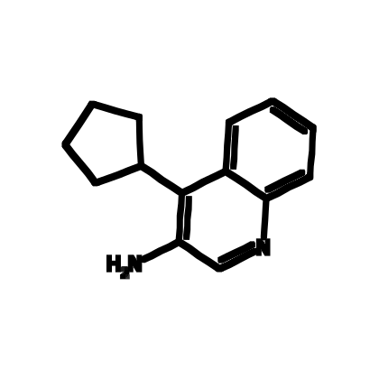 Nc1cnc2ccccc2c1C1CCCC1